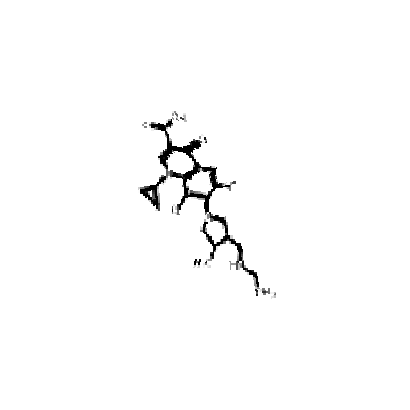 CCNCC1CN(c2c(F)cc3c(=O)c(C(=O)O)cn(C4CC4)c3c2Cl)CC1C